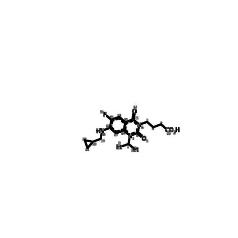 CCC(CC)n1c(=O)n(CCCC(=O)O)c(=O)c2cc(F)c(NCC3CC3)cc21